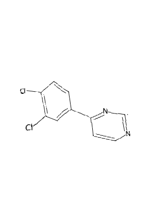 Clc1ccc(-c2ccn[c]n2)cc1Cl